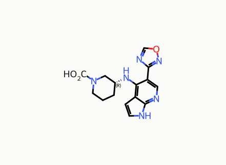 O=C(O)N1CCC[C@@H](Nc2c(-c3ncon3)cnc3[nH]ccc23)C1